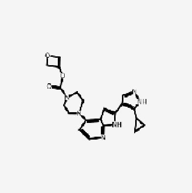 O=C(OC1COC1)N1CCN(c2ccnc3[nH]c(-c4cn[nH]c4C4CC4)cc23)CC1